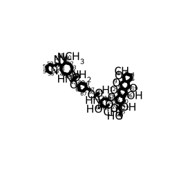 COc1cccc2c1C(=O)c1c(O)c3c(c(O)c1C2=O)C[C@@](O)(C(=O)CO)C[C@@H]3O[C@H]1CC(NC(=O)OCc2ccc(OC(=O)NC3CCC4C(c5ccccn5)=NN=C(C)C4CCC3N)cc2)[C@H](O)C(C)O1